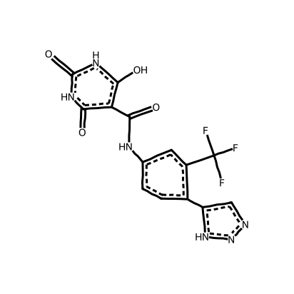 O=C(Nc1ccc(-c2cnn[nH]2)c(C(F)(F)F)c1)c1c(O)[nH]c(=O)[nH]c1=O